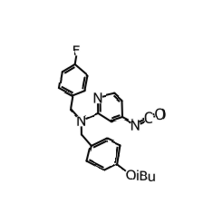 CC(C)COc1ccc(CN(Cc2ccc(F)cc2)c2cc(N=C=O)ccn2)cc1